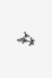 c1ccc(-c2cc(-c3ccc(-n4c5ccccc5c5c6oc7ccccc7c6ccc54)c(-c4cc(-c5ccccc5)nc(-c5ccc(-c6cc7c8c(c6)N(c6ccccc6)c6ccccc6B8c6ccccc6N7c6ccccc6)cc5)n4)c3)nc(-c3ccccc3)n2)cc1